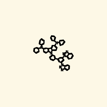 c1ccc(N(c2ccccc2)c2ccc3c(c2)c2cc(N(c4ccccc4)c4ccccc4)ccc2n3-c2cccc(-c3cc(-n4nnc5ccccc54)cc(-n4nnc5ccccc54)c3)c2)cc1